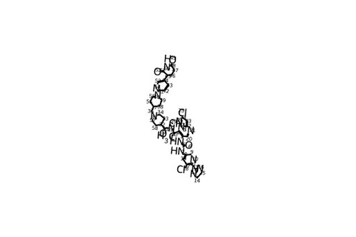 C[C@H](c1c(NC(=O)Nc2cnc(-n3nccn3)c(Cl)c2)cnc2cc(Cl)nn12)N(C)C(=O)C1CCN(CC2CCN(c3ccc(C4CCC(=O)NC4=O)cn3)CC2)CC1